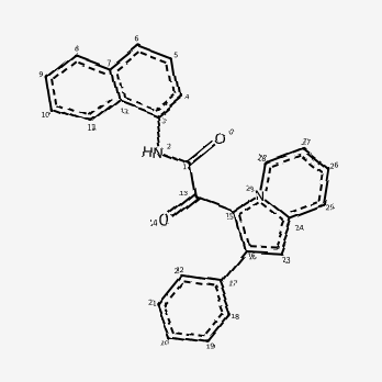 O=C(Nc1cccc2ccccc12)C(=O)c1c(-c2ccccc2)cc2ccccn12